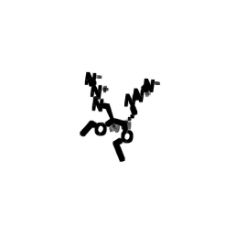 CCO[C@@H](CN=[N+]=[N-])[C@H](CN=[N+]=[N-])OCC